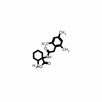 Cc1cc(C)c(CC(=O)NC2(C(=O)O)CCCCC2C)c(C)c1